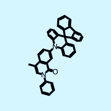 Cc1cn(-c2ccccc2)c(=O)c2cc(N3c4ccccc4C4(c5ccccc5-c5ccccc54)c4ccccc43)ccc12